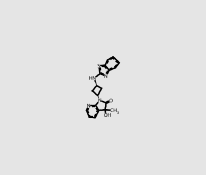 CC1(O)C(=O)N([C@H]2C[C@H](Nc3nc4ccccc4s3)C2)c2ncccc21